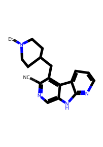 CCN1CCC(Cc2c(C#N)ncc3[nH]c4ncccc4c23)CC1